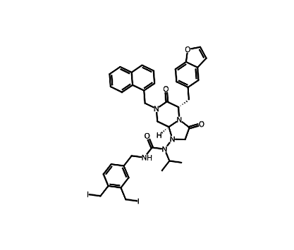 CC(C)N(C(=O)NCc1ccc(CI)c(CI)c1)N1CC(=O)N2[C@@H](Cc3ccc4occc4c3)C(=O)N(Cc3cccc4ccccc34)C[C@@H]21